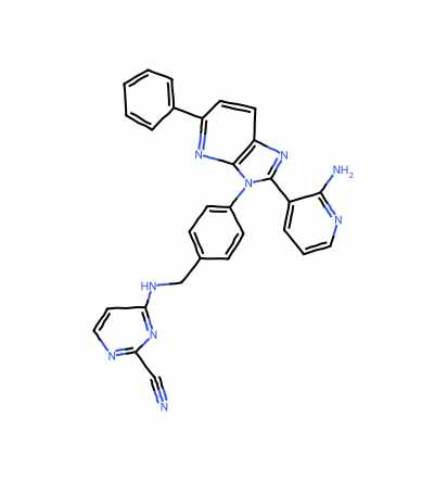 N#Cc1nccc(NCc2ccc(-n3c(-c4cccnc4N)nc4ccc(-c5ccccc5)nc43)cc2)n1